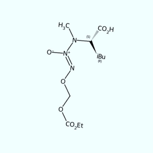 CCOC(=O)OCON=[N+]([O-])N(C)[C@H](C(=O)O)[C@H](C)CC